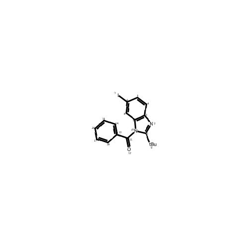 CC(C)(C)c1nc2ccc(I)cc2n1C(=O)c1ccccc1